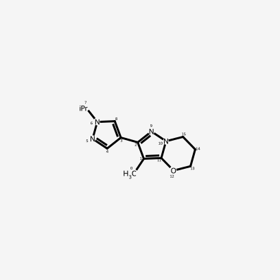 Cc1c(-c2cnn(C(C)C)c2)nn2c1OCCC2